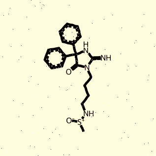 C[S+]([O-])NCCCCN1C(=N)NC(c2ccccc2)(c2ccccc2)C1=O